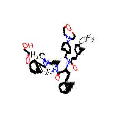 CN(CCN(C)C(=O)C(Cc1ccccc1)N(Cc1ccc(N2CCOCC2)cc1)C(=O)C=Cc1ccc(C(F)(F)F)cc1)Cc1cccc(OCCO)c1